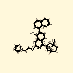 Fc1c(-c2cccc3ccccc23)ccc2c(N3C[C@H]4CC[C@@H](C3)N4)nc(OCCn3cncn3)nc12